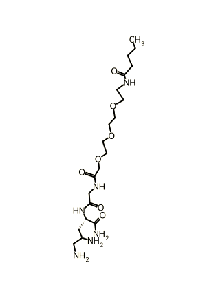 CCCCC(=O)NCCOCCOCCOCC(=O)NCC(=O)N[C@@H](CC(N)CN)C(N)=O